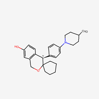 O=CC1CCN(c2ccc([C@@H]3c4ccc(O)cc4COC34CCCCC4)cc2)CC1